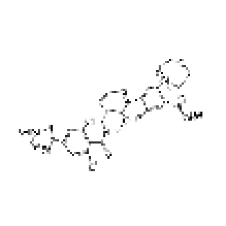 COC(=O)c1cc(F)c(-c2cccc3c2OCN(C(=O)c2c(Cl)cc(-c4nn[nH]n4)cc2Cl)C3)cc1N1C2CCC1COC2